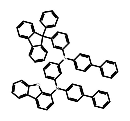 c1ccc(-c2ccc(N(c3cccc(N(c4ccc(-c5ccccc5)cc4)c4cccc5c4oc4ccccc45)c3)c3cccc(C4(c5ccccc5)c5ccccc5-c5ccccc54)c3)cc2)cc1